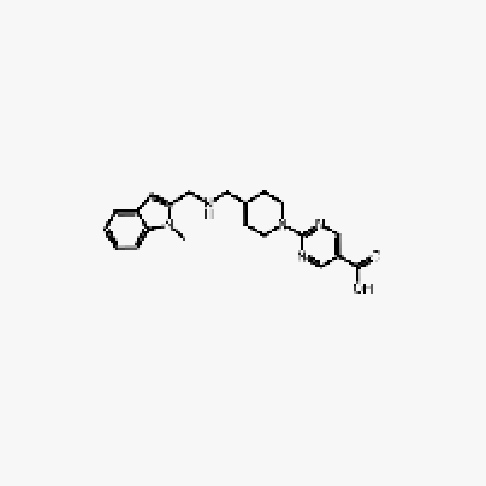 Cn1c(CNCC2CCN(c3ncc(C(=O)O)cn3)CC2)cc2ccccc21